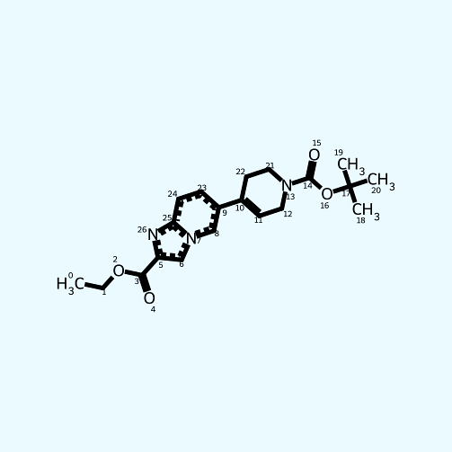 CCOC(=O)c1cn2cc(C3=CCN(C(=O)OC(C)(C)C)CC3)ccc2n1